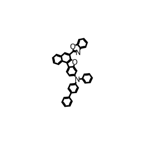 c1ccc(-c2ccc(N(c3ccccc3)c3ccc4c(c3)oc3c(-c5nc6ccccc6o5)cc5ccccc5c34)cc2)cc1